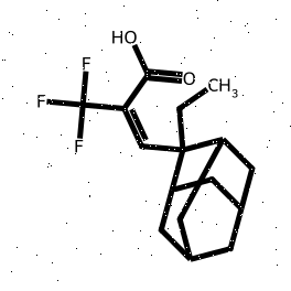 CCC1(C=C(C(=O)O)C(F)(F)F)C2CC3CC(C2)CC1C3